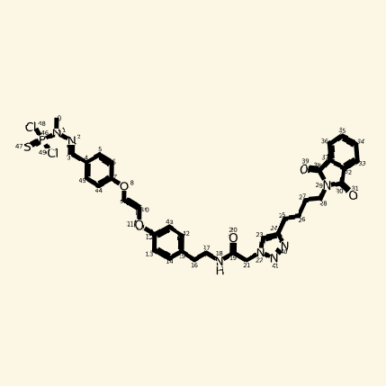 CN(/N=C/c1ccc(OC=COc2ccc(CCNC(=O)Cn3cc(CCCCN4C(=O)c5ccccc5C4=O)nn3)cc2)cc1)P(=S)(Cl)Cl